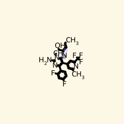 CC/C=C(CO)/N=c1/c(-c2cc(C)nc(C(F)(F)F)c2)c(-c2ccc(F)cc2F)nc(N)n1C